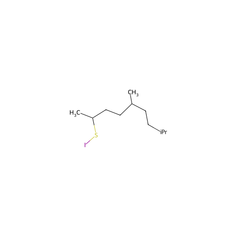 CC(C)CCC(C)CCC(C)SI